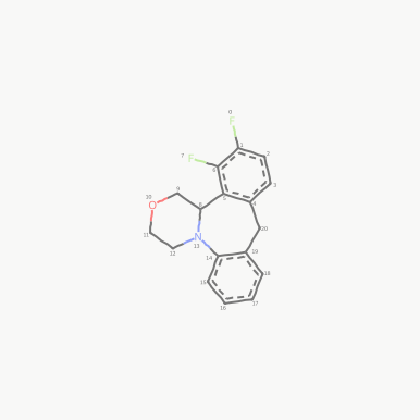 Fc1ccc2c(c1F)C1COCCN1c1ccccc1C2